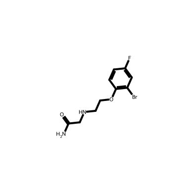 NC(=O)CNCCOc1ccc(F)cc1Br